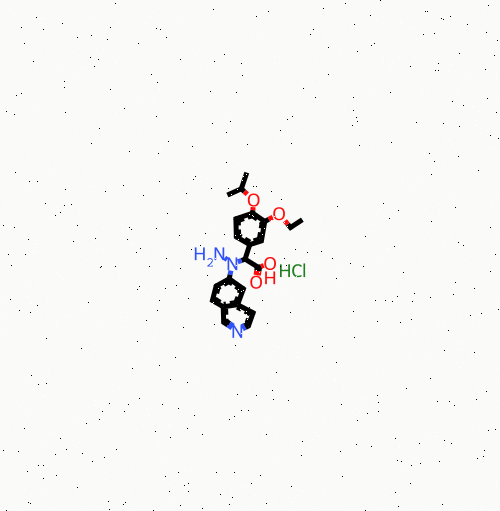 CCOc1cc(C(C(=O)O)N(N)c2ccc3cnccc3c2)ccc1OC(C)C.Cl